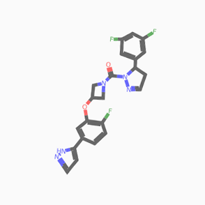 O=C(N1CC(Oc2cc(-c3ccn[nH]3)ccc2F)C1)N1N=CCC1c1cc(F)cc(F)c1